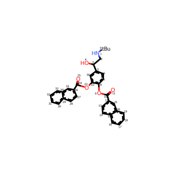 CC(C)(C)NCC(O)c1ccc(OC(=O)c2ccc3ccccc3c2)c(OC(=O)c2ccc3ccccc3c2)c1